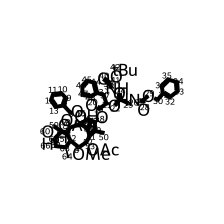 COC1C2[C@H]([C@H](OC(=O)c3ccccc3)[C@]3(O)C[C@H](OC(=O)[C@H](OC(=O)CNC(=O)OCc4ccccc4)[C@@H](NC(=O)OC(C)(C)C)c4ccccc4)C(C)=C([C@H]1OC(C)=O)C3(C)C)[C@]1(OC(C)=O)CO[C@@H]1C[C@@H]2C